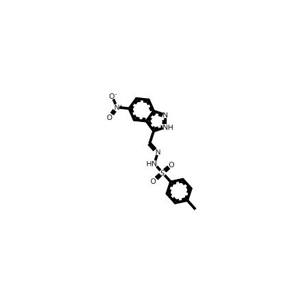 Cc1ccc(S(=O)(=O)NN=Cc2[nH]nc3ccc([N+](=O)[O-])cc23)cc1